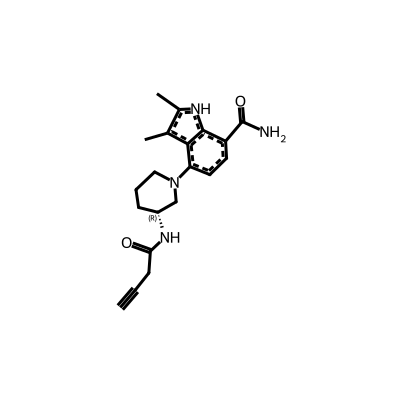 C#CCC(=O)N[C@@H]1CCCN(c2ccc(C(N)=O)c3[nH]c(C)c(C)c23)C1